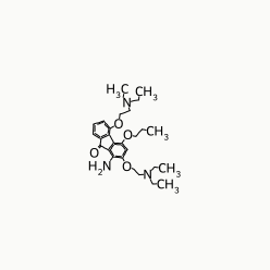 CCCOc1cc(OCCN(CC)CC)c(N)c2c1-c1c(OCCN(CC)CC)cccc1C2=O